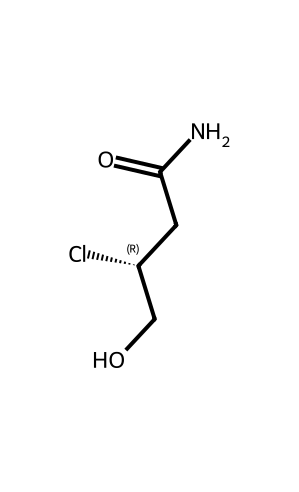 NC(=O)C[C@@H](Cl)CO